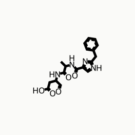 CC(NC(=O)c1c[nH]c(Cc2ccccc2)n1)C(=O)NC(C=O)CC(=O)O